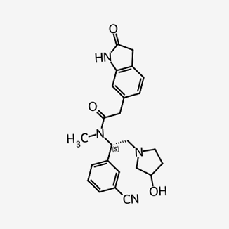 CN(C(=O)Cc1ccc2c(c1)NC(=O)C2)[C@H](CN1CCC(O)C1)c1cccc(C#N)c1